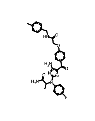 Cc1ccc(CNC(=O)COc2ccc(C(=O)c3sc(N(c4ccc(F)cc4)C(C)C(N)=O)nc3N)cc2)cc1